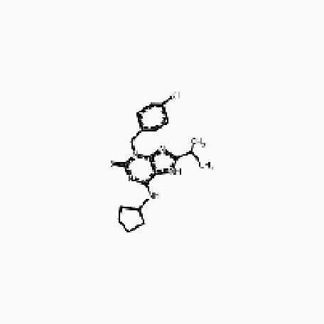 CC(C)c1nc2c([nH]1)c(NC1CCCC1)nc(=S)n2Cc1ccc(Cl)cc1